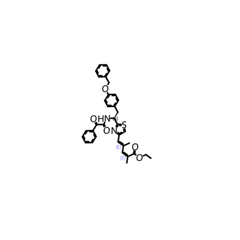 CCOC(=O)/C(C)=C\C(C)=C\c1csc([C@H](Cc2ccc(OCc3ccccc3)cc2)NC(=O)C(=O)c2ccccc2)n1